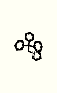 c1ccc(C(C[n+]2ccccc2)(c2ccccc2)c2ccccc2)cc1